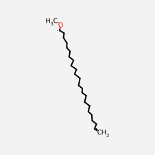 C=CCCCCCCCCCCCCCCCCCCCCC[CH]OC